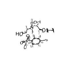 CCCCCCCC[N+](C)(CCO)CCO.Cc1ccc(S(=O)(=O)[O-])cc1